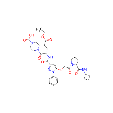 CCOC(=O)CC[C@H](NC(=O)c1cc(OCC(=O)N2CCC[C@H]2C(=O)NC2CCC2)n(-c2ccccc2)n1)C(=O)N1CCN(C(=O)O)CC1